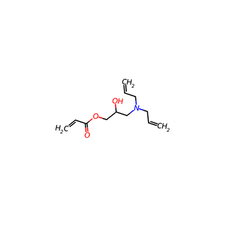 C=CCN(CC=C)CC(O)COC(=O)C=C